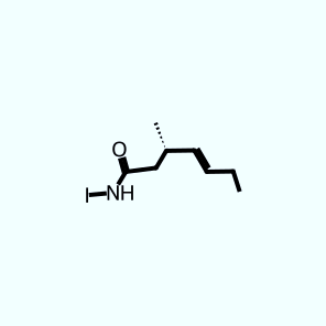 CC/C=C/[C@@H](C)CC(=O)NI